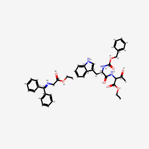 CCOC(=O)C(NC(=O)[C@@H](Cc1c[nH]c2ccccc12)NC(=O)OCc1ccccc1)C(C)=O.CCOC(=O)CN=C(c1ccccc1)c1ccccc1